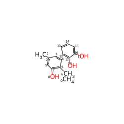 C.Cc1ccc(C)c(O)c1.Oc1ccccc1O